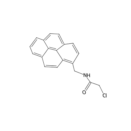 O=C(CCl)NCc1ccc2ccc3cccc4ccc1c2c34